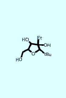 CCC1(O)C(O)C(CO)OC1C(C)(C)C